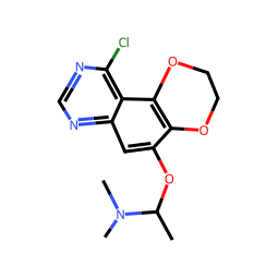 CC(Oc1cc2ncnc(Cl)c2c2c1OCCO2)N(C)C